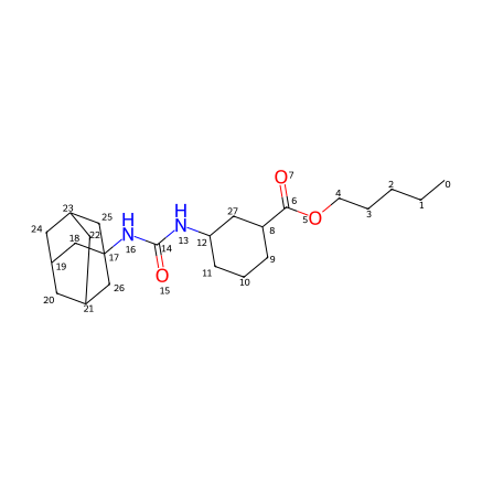 CCCCCOC(=O)C1CCCC(NC(=O)NC23CC4CC(CC(C4)C2)C3)C1